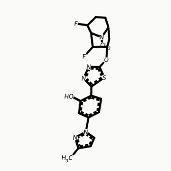 Cc1ccn(-c2ccc(-c3nnc(OC4CC5CCC(F)C(C4F)N5C)s3)c(O)c2)n1